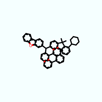 CC1(C)c2ccc(C(c3ccc4c(c3)oc3ccccc34)c3ccccc3-c3cccc4cccc(-c5ccccc5)c34)cc2-c2cccc(C3CCCCC3)c21